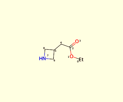 CCOC(=O)CC1CNC1